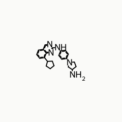 NC1CCN(c2ccc(Nc3ncc4cccc(C5CCCC5)c4n3)cc2)C1